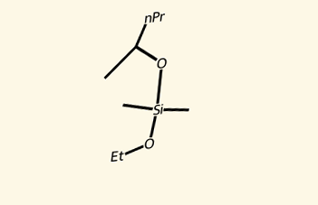 CCCC(C)O[Si](C)(C)OCC